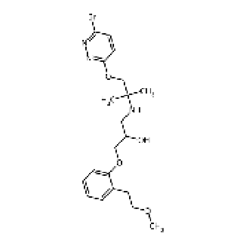 COCCc1ccccc1OCC(O)CNC(C)(C)COc1ccc(Br)nn1